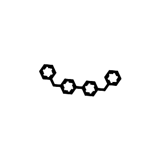 c1ccc(Cc2ccc(-c3ccc(Cc4ccccc4)cc3)cc2)cc1